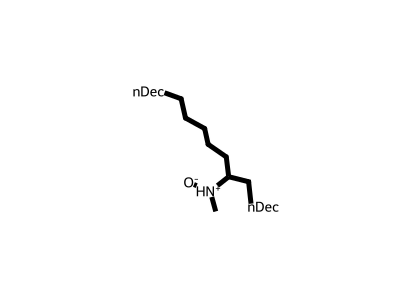 CCCCCCCCCCCCCCCC(CCCCCCCCCCC)[NH+](C)[O-]